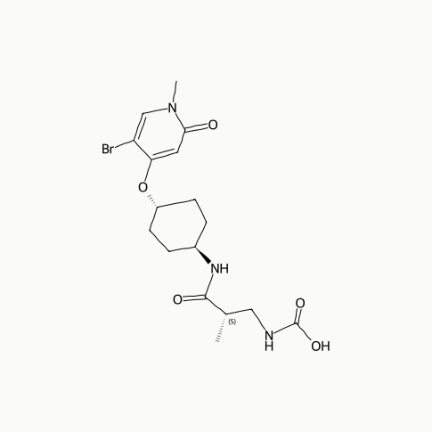 C[C@@H](CNC(=O)O)C(=O)N[C@H]1CC[C@H](Oc2cc(=O)n(C)cc2Br)CC1